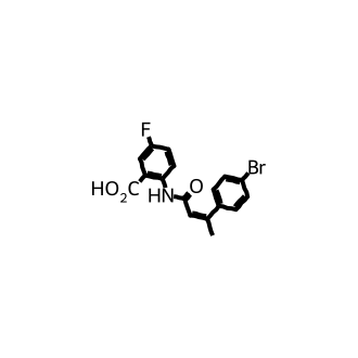 C/C(=C/C(=O)Nc1ccc(F)cc1C(=O)O)c1ccc(Br)cc1